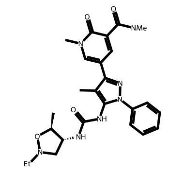 CCN1C[C@@H](NC(=O)Nc2c(C)c(-c3cc(C(=O)NC)c(=O)n(C)c3)nn2-c2ccccc2)[C@H](C)O1